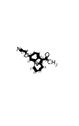 CC(=O)c1c2ccc(OCC#N)cc2n2ccccc12